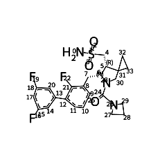 NS(=O)(=O)C[C@H]1[C@@H](Cc2cccc(-c3cc(F)cc(F)c3)c2F)N(C(=O)N2CCC2)CC12CC2